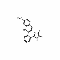 COc1ccc2c(c1)NC(c1ccccc1-c1nc(C)c(C)[nH]1)=C=C2